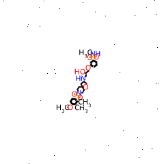 CNS(=O)(=O)c1cccc(OC[C@@H](O)CNC2COC3(CCN(S(=O)(=O)c4ccc(OC)c(C)c4C)CC3)C2)c1